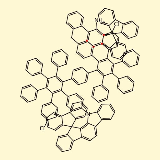 Nc1c(-c2ccccc2Cc2ccc(-c3c(-c4ccc(Cl)cc4)c(-c4ccccc4)c(-c4ccccc4)c(-c4ccccc4)c3-c3ccc(-c4c(-c5ccccc5)c(-c5ccccc5)c(-c5ccccc5)c(-c5ccc(Cl)cc5)c4-c4ccc(-n5c6ccccc6c6ccc7c(c65)C5(c6ccccc6-c6ccccc65)c5ccccc5-7)cc4)cc3)cc2)ccc2c1C1(c3ccccc3-c3ccccc31)c1ccccc1-2